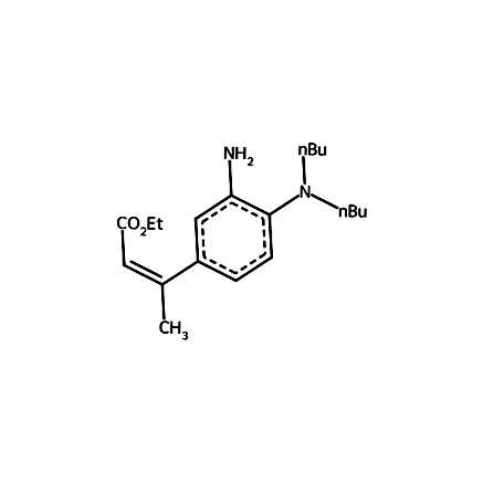 CCCCN(CCCC)c1ccc(/C(C)=C\C(=O)OCC)cc1N